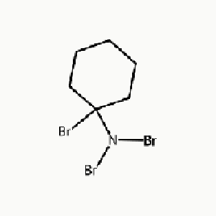 BrN(Br)C1(Br)CCCCC1